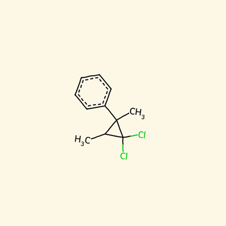 CC1C(Cl)(Cl)C1(C)c1ccccc1